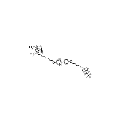 C[Si](C)(C)C[Si](C)(C)CCCCCCCCOc1cnc(-c2ccc(OCCCCCCC(F)(F)C(F)(F)C(F)(F)C(F)(F)F)cc2)nc1